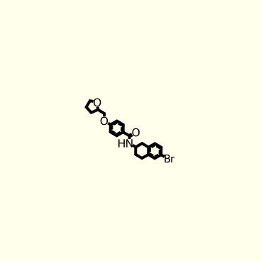 O=C(NC1CCc2cc(Br)ccc2C1)c1ccc(OCC2CCCO2)cc1